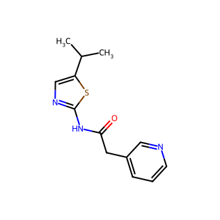 CC(C)c1cnc(NC(=O)Cc2cccnc2)s1